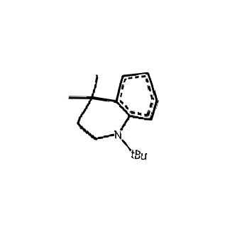 CC1(C)CCN(C(C)(C)C)c2ccccc21